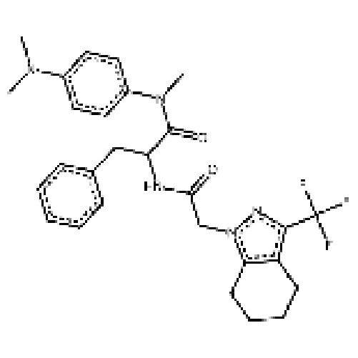 CN(C)c1ccc(N(C)C(=O)C(Cc2ccccc2)NC(=O)Cn2nc(C(F)(F)F)c3c2CCCC3)cc1